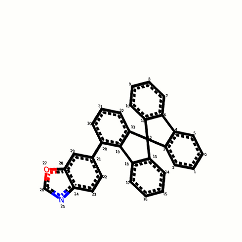 c1ccc2c(c1)-c1ccccc1C21c2ccccc2-c2c(-c3ccc4ncoc4c3)cccc21